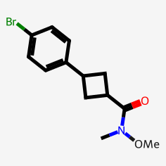 CON(C)C(=O)C1CC(c2ccc(Br)cc2)C1